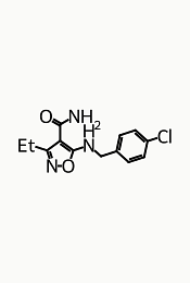 CCc1noc(NCc2ccc(Cl)cc2)c1C(N)=O